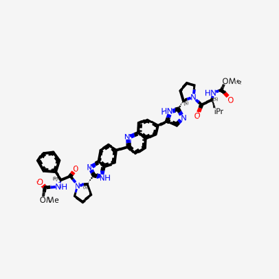 COC(=O)N[C@H](C(=O)N1CCC[C@H]1c1ncc(-c2ccc3nc(-c4ccc5nc([C@@H]6CCCN6C(=O)[C@H](NC(=O)OC)c6ccccc6)[nH]c5c4)ccc3c2)[nH]1)C(C)C